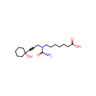 NC(=O)N(CC#CC1(O)CCCCC1)CCCCCCC(=O)O